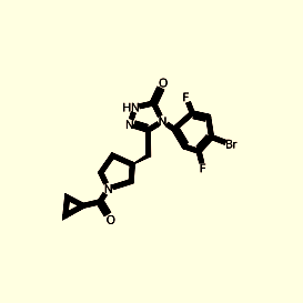 O=C(C1CC1)N1CC[C@@H](Cc2n[nH]c(=O)n2-c2cc(F)c(Br)cc2F)C1